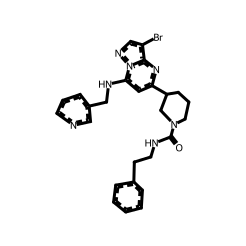 O=C(NCCc1ccccc1)N1CCCC(c2cc(NCc3cccnc3)n3ncc(Br)c3n2)C1